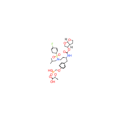 CC(C)CN(CC[C@H](Cc1ccc(OCP(=O)(O)O[C@@H](C)C(=O)O)cc1)NC(=O)O[C@H]1CO[C@H]2OCC[C@H]21)S(=O)(=O)C1C=CC(F)=CC1